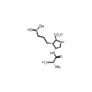 CC(C)(C)[C@H](N)C(=O)N[C@H]1CN[C@H](C(=O)O)[C@@H]1CCCB(O)O